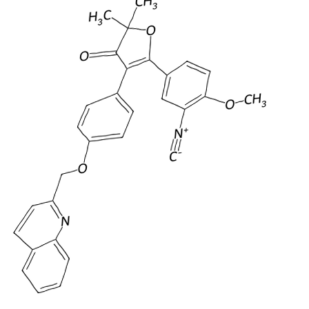 [C-]#[N+]c1cc(C2=C(c3ccc(OCc4ccc5ccccc5n4)cc3)C(=O)C(C)(C)O2)ccc1OC